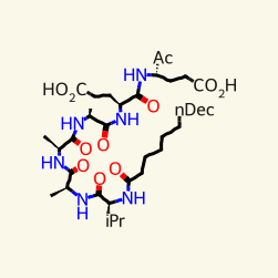 CCCCCCCCCCCCCCCC(=O)N[C@H](C(=O)N[C@@H](C)C(=O)N[C@@H](C)C(=O)N[C@@H](C)C(=O)N[C@@H](CCC(=O)O)C(=O)N[C@@H](CCC(=O)O)C(C)=O)C(C)C